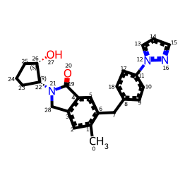 Cc1cc2c(cc1Cc1ccc(-n3cccn3)cc1)C(=O)N([C@@H]1CCC[C@@H]1O)C2